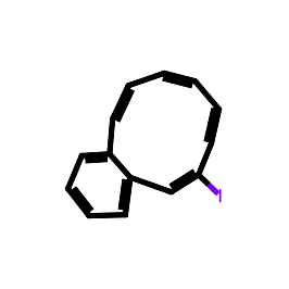 Ic1ccccccc2ccccc2c1